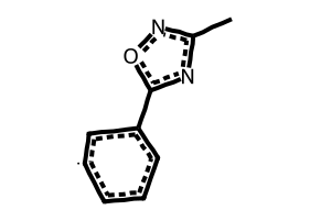 Cc1noc(-c2c[c]ccc2)n1